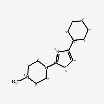 CN1CCN(c2nc(C3CCCCC3)cs2)CC1